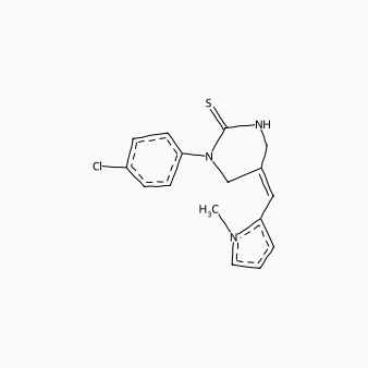 Cn1cccc1C=C1CNC(=S)N(c2ccc(Cl)cc2)C1